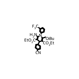 CCOC(=O)C1=C(N)N(c2cccc(C(F)(F)F)c2)C(COCC(C)C)=C(C(=O)OCC)C1c1ccc(C#N)cc1